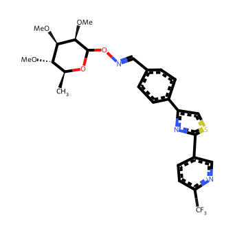 CO[C@@H]1[C@@H](OC)[C@@H](OC)C(O/N=C/c2ccc(-c3csc(-c4ccc(C(F)(F)F)nc4)n3)cc2)O[C@H]1C